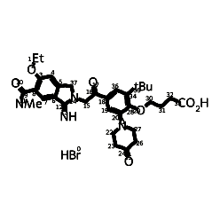 Br.CCOc1cc2c(cc1C(=O)NC)C(=N)N(CC(=O)c1cc(N3CCC(=O)CC3)c(OCCCC(=O)O)c(C(C)(C)C)c1)C2